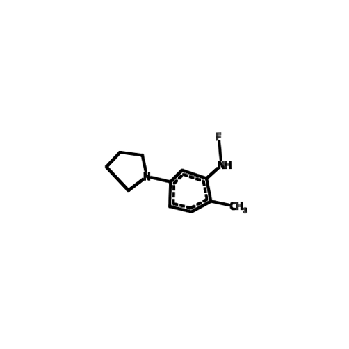 Cc1ccc(N2CCCC2)cc1NF